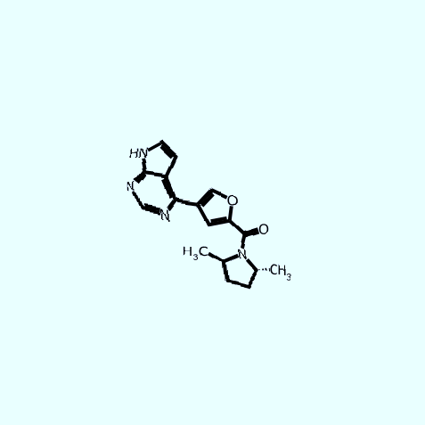 CC1CC[C@@H](C)N1C(=O)c1cc(-c2ncnc3[nH]ccc23)co1